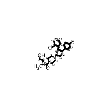 CN(CCO)C(=O)N1CCN(c2cnc(-c3ccc(F)cc3)c(-c3ccncc3Cl)n2)CC1